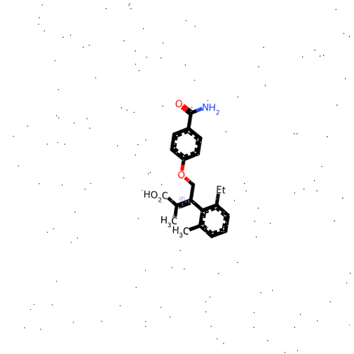 CCc1cccc(C)c1/C(COc1ccc(C(N)=O)cc1)=C(\C)C(=O)O